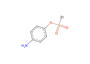 CCS(=O)(=O)Oc1ccc(N)cc1